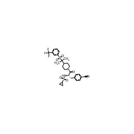 CC(C)(C1CCN(C(=O)[C@H](Cc2ccc(C#N)cc2)NS(=O)(=O)C2CC2)CC1)S(=O)(=O)c1cccc(C(F)(F)F)c1